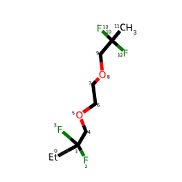 CCC(F)(F)COCCOCC(C)(F)F